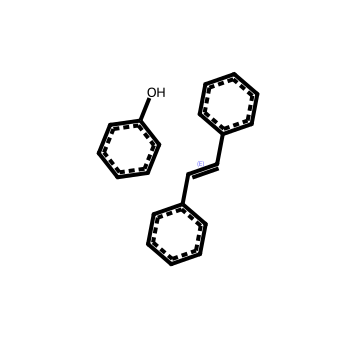 C(=C\c1ccccc1)/c1ccccc1.Oc1ccccc1